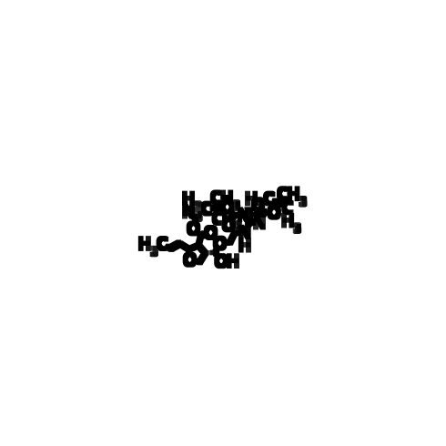 C/C=C/C1OC[C@@H](C(O)OCCN/C(=N/C(=O)OC(C)(C)C)NC(=O)OC(C)(C)C)C1C(=O)OCN